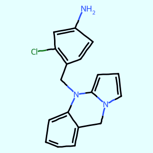 Nc1ccc(CN2c3ccccc3Cn3cccc32)c(Cl)c1